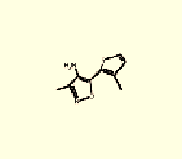 Cc1ccsc1-c1onc(C)c1N